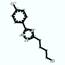 ClCCCCc1nc(-c2ccc(Cl)cc2)ns1